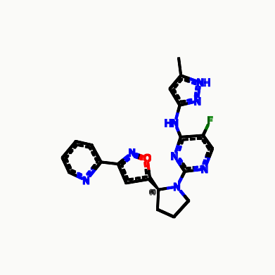 Cc1cc(Nc2nc(N3CCC[C@H]3c3cc(-c4ccccn4)no3)ncc2F)n[nH]1